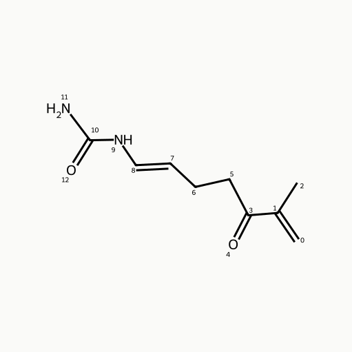 C=C(C)C(=O)CCC=CNC(N)=O